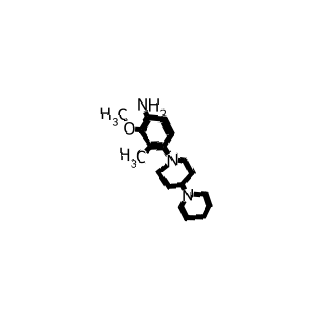 COc1c(N)ccc(N2CCC(N3CCCCC3)CC2)c1C